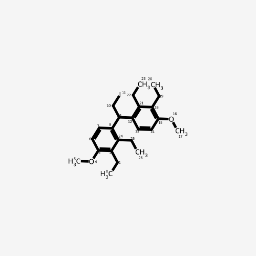 CCc1c(OC)ccc(C(CI)c2ccc(OC)c(CC)c2CC)c1CC